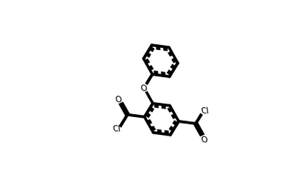 O=C(Cl)c1ccc(C(=O)Cl)c(Oc2ccccc2)c1